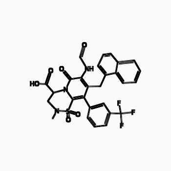 CN1CC(C(=O)O)n2c(c(-c3cccc(C(F)(F)F)c3)c(Cc3cccc4ccccc34)c(NC=O)c2=O)S1(=O)=O